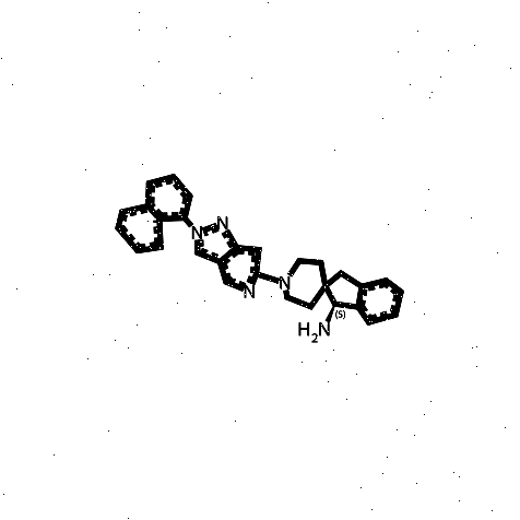 N[C@@H]1c2ccccc2CC12CCN(c1cc3nn(-c4cccc5ccccc45)cc3cn1)CC2